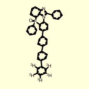 [2H]c1c([2H])c([2H])c(-c2ccc(-c3ccc(-c4ccc5c(c4)P(=O)(c4ccccc4)c4cccc6nc(-c7ccccc7)n-5c46)cc3)cc2)c([2H])c1[2H]